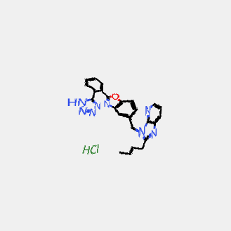 CCCCc1nc2cccnc2n1Cc1ccc2oc(-c3ccccc3-c3nnn[nH]3)nc2c1.Cl